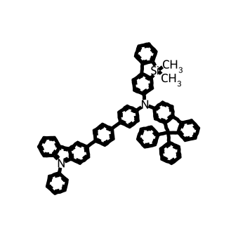 C[Si]1(C)c2ccccc2-c2ccc(N(c3ccc(-c4ccc(-c5ccc6c(c5)c5ccccc5n6-c5ccccc5)cc4)cc3)c3ccc4c(c3)C(c3ccccc3)(c3ccccc3)c3ccccc3-4)cc21